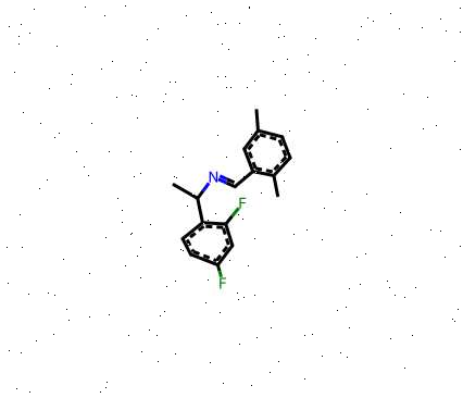 Cc1ccc(C)c(C=NC(C)c2ccc(F)cc2F)c1